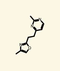 Cc1coc(CCc2ccnc(C)n2)n1